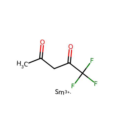 CC(=O)CC(=O)C(F)(F)F.[Sm+3]